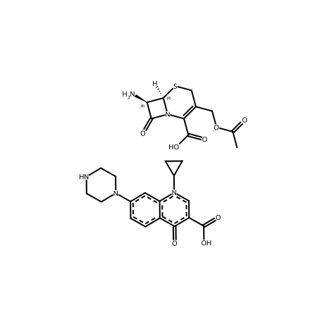 CC(=O)OCC1=C(C(=O)O)N2C(=O)[C@@H](N)[C@H]2SC1.O=C(O)c1cn(C2CC2)c2cc(N3CCNCC3)ccc2c1=O